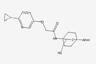 CC(=O)NC12CCC(NC(=O)COc3ccc(C4CC4)nc3)(CC1)C(O)C2